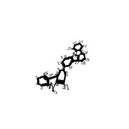 Cn1c2ccccc2c2cc(-c3ccc4c(c3)c3cccc5c6ccccc6n4c53)ccc21